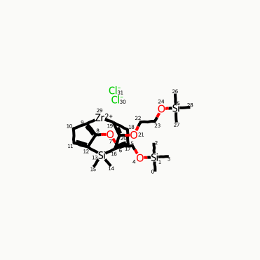 C[Si](C)(C)OCCOC1=[C]2CC=C1[Si](C)(C)C1=CC[C](=C1OCCO[Si](C)(C)C)[Zr+2]2.[Cl-].[Cl-]